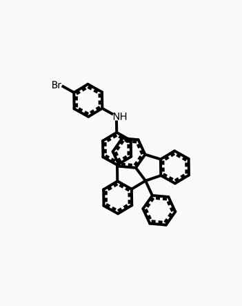 Brc1ccc(Nc2ccc(-c3ccccc3C3(c4ccccc4)c4ccccc4-c4ccccc43)cc2)cc1